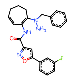 NN(Cc1ccccc1)C1=C(NC(=O)c2cc(-c3cccc(F)c3)on2)C=CCCC1